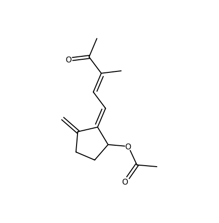 C=C1CCC(OC(C)=O)/C1=C/C=C(\C)C(C)=O